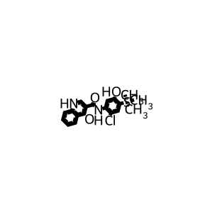 CS(C)(C)c1cc(Cl)c(NC(=O)c2c[nH]c3ccccc3c2=O)cc1O